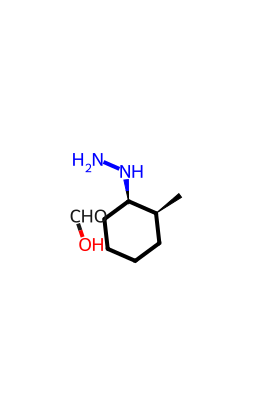 C[C@H]1CCCC[C@H]1NN.O=CO